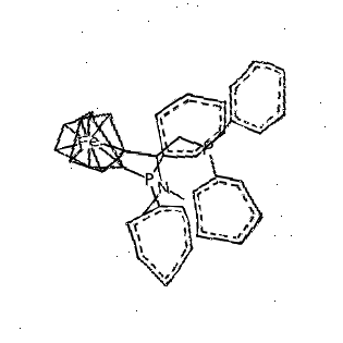 CN(C)C(CP(c1ccccc1)c1ccccc1)[C]12[CH]3[CH]4[CH]5[CH]1[Fe]45321678[CH]2[CH]1[CH]6[C]7(P(c1ccccc1)c1ccccc1)[CH]28